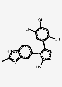 CCc1cc(-c2nnc(S)n2-c2ccc3[nH]c(C)nc3c2)c(O)cc1O